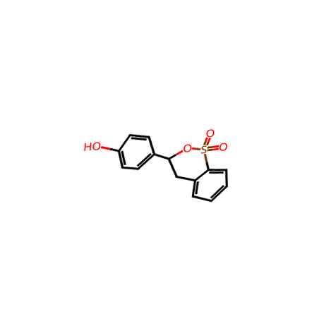 O=S1(=O)OC(c2ccc(O)cc2)Cc2ccccc21